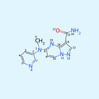 CN(c1cccnc1)c1ccn2ncc(C(N)=O)c2n1